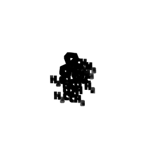 C=CC(O)[C@]1(CO[Si](c2ccccc2)(c2ccccc2)C(C)(C)C)O[C@@H]2OC(C)(C)O[C@@H]2[C@@H]1OC